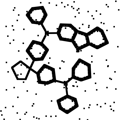 c1ccc(N(c2ccccc2)c2ccc(C3(c4ccc(N(c5ccccc5)c5ccc6c(c5)sc5ccccc56)cc4)CCCC3)cc2)cc1